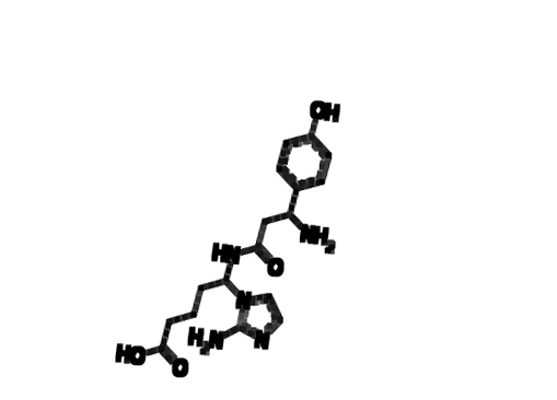 Nc1nccn1C(CCCC(=O)O)NC(=O)CC(N)c1ccc(O)cc1